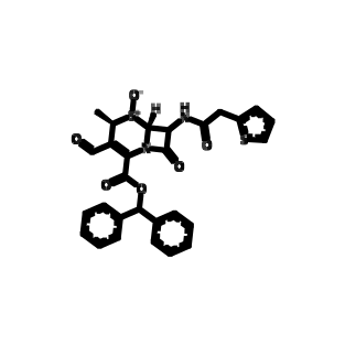 C[C@@H]1C(C=O)=C(C(=O)OC(c2ccccc2)c2ccccc2)N2C(=O)C(NC(=O)Cc3cccs3)[C@H]2[S+]1[O-]